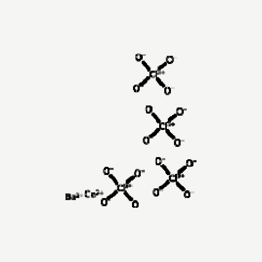 [Ba+2].[Ca+2].[O-][Cl+3]([O-])([O-])[O-].[O-][Cl+3]([O-])([O-])[O-].[O-][Cl+3]([O-])([O-])[O-].[O-][Cl+3]([O-])([O-])[O-]